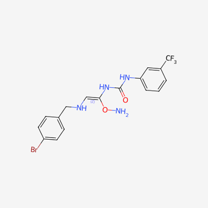 NO/C(=C\NCc1ccc(Br)cc1)NC(=O)Nc1cccc(C(F)(F)F)c1